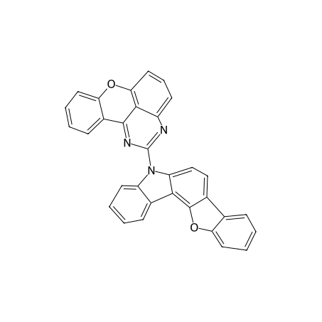 c1ccc2c(c1)Oc1cccc3nc(-n4c5ccccc5c5c6oc7ccccc7c6ccc54)nc-2c13